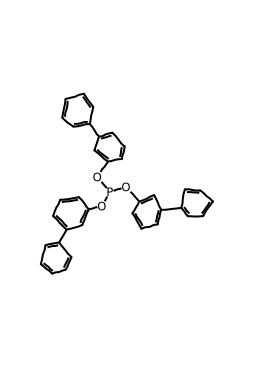 c1ccc(-c2cccc(OP(Oc3cccc(-c4ccccc4)c3)Oc3cccc(-c4ccccc4)c3)c2)cc1